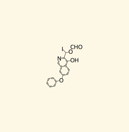 O=COC(I)c1ncc2cc(Oc3ccccc3)ccc2c1O